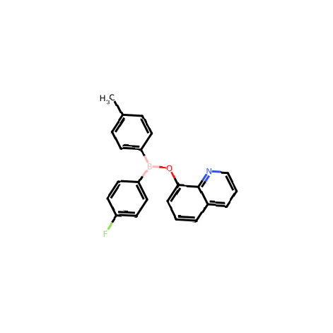 Cc1ccc(B(Oc2cccc3cccnc23)c2ccc(F)cc2)cc1